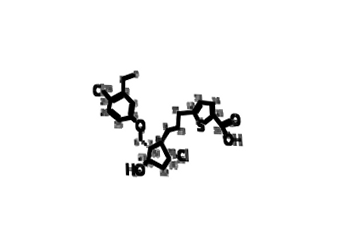 CCc1cc(OC[C@@H]2[C@@H](CCCc3ccc(C(=O)O)s3)[C@H](Cl)C[C@H]2O)ccc1Cl